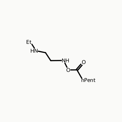 CCCCCC(=O)ONCCNCC